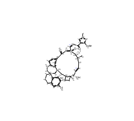 COc1nn(C)cc1C(=O)/N=C\S1(=O)=NC(=O)c2ccc3c(c2)N(C[C@@H]2CC[C@H]2[C@@H](OC(C)=O)/C=C/C[C@H](C)[C@H]1C)C[C@@]1(CCCc2cc(Cl)ccc21)CO3